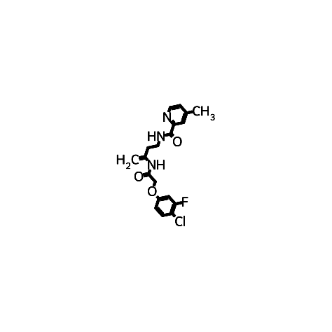 C=C(CCNC(=O)c1cc(C)ccn1)NC(=O)COc1ccc(Cl)c(F)c1